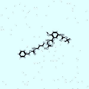 COc1ccc(NC(=O)OC(C)(C)C)cc1C(=O)N[C@@H](CCCCNC(=O)OCc1ccccc1)C(=O)O